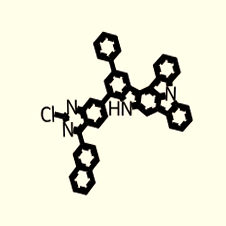 Clc1nc(-c2ccc3ccccc3c2)c2ccc(-c3cc(-c4ccccc4)cc4c3[nH]c3cc5c6ccccc6n6c7ccccc7c(c34)c56)cc2n1